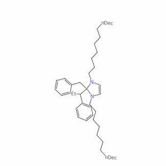 CCCCCCCCCCCCCCCCCN1C=CN(CCCCCCCCCCCCCCCCC)C1(Cc1ccccc1)C(CC)c1ccccc1